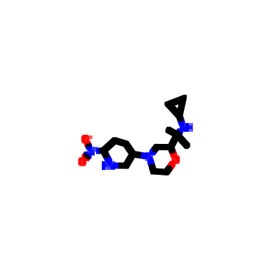 CC(C)(NC1CC1)C1CN(C2CCC([N+](=O)[O-])NC2)CCO1